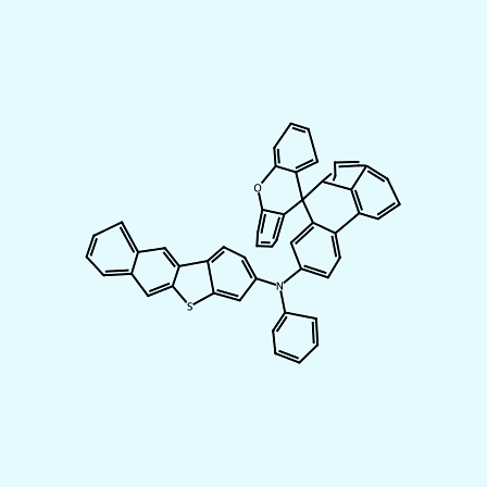 c1ccc(N(c2ccc3c(c2)C2(c4ccccc4Oc4ccccc42)c2cccc4cccc-3c24)c2ccc3c(c2)sc2cc4ccccc4cc23)cc1